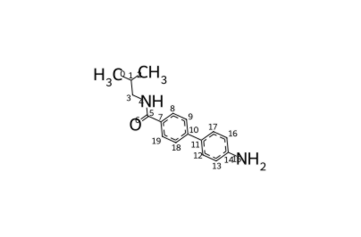 CC(C)CNC(=O)c1ccc(-c2ccc(N)cc2)cc1